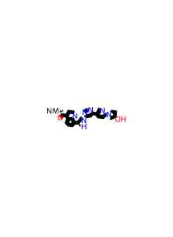 CNC(=O)c1ccnc2c([C@H](C)CNc3cc(-c4ccc(N5CC[C@@H](O)C5)nc4)ncn3)cccc12